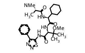 CN[C@@H](C)C(=O)N[C@H](C(=O)N[C@H](C(=O)Nc1snnc1-c1ccccc1)C(C)(C)OC)C1CCCCC1